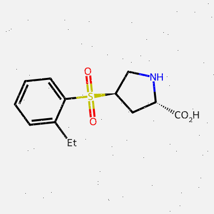 CCc1ccccc1S(=O)(=O)[C@H]1CN[C@H](C(=O)O)C1